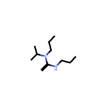 C=C(NCCC)N(CCC)C(C)C